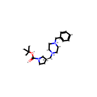 CC(C)(C)OC(=O)N1CC[C@H](CN2CCN(Cc3ccccc3)CC2)C1